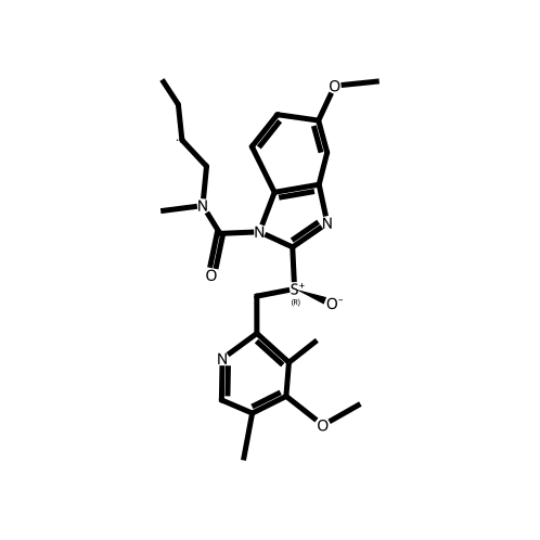 CC[CH]CN(C)C(=O)n1c([S@@+]([O-])Cc2ncc(C)c(OC)c2C)nc2cc(OC)ccc21